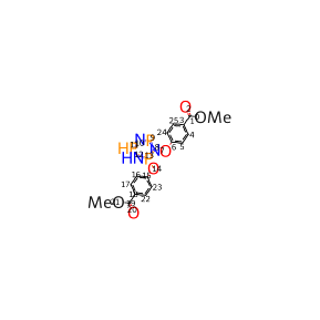 COC(=O)c1ccc(On2pn[pH][nH]p2Oc2ccc(C(=O)OC)cc2)cc1